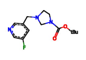 CC(C)(C)OC(=O)N1CCN(Cc2cncc(F)c2)C1